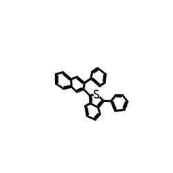 c1ccc(-c2cc3ccccc3cc2-c2sc(-c3ccccc3)c3ccccc23)cc1